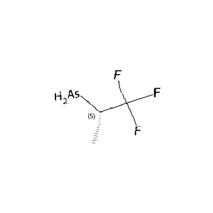 C[C@H]([AsH2])C(F)(F)F